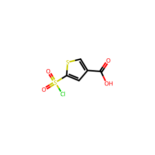 O=C(O)c1csc(S(=O)(=O)Cl)c1